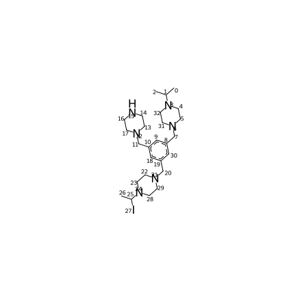 CC(C)N1CCN(Cc2cc(CN3CCNCC3)cc(CN3CCN(C(C)I)CC3)c2)CC1